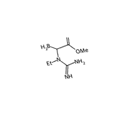 BC(C(=C)OC)N(CC)C(=N)N